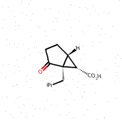 CC(C)C[C@]12C(=O)CC[C@@H]1[C@@H]2C(=O)O